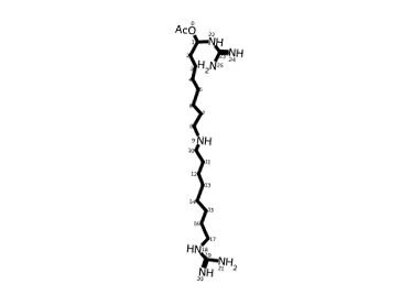 CC(=O)OC(CCCCCCCNCCCCCCCCNC(=N)N)NC(=N)N